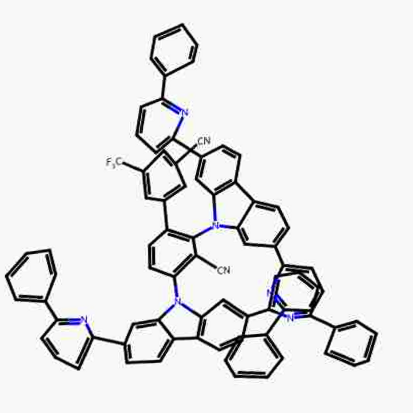 N#Cc1cc(-c2ccc(-n3c4cc(-c5cccc(-c6ccccc6)n5)ccc4c4ccc(-c5cccc(-c6ccccc6)n5)cc43)c(C#N)c2-n2c3cc(-c4cccc(-c5ccccc5)n4)ccc3c3ccc(-c4cccc(-c5ccccc5)n4)cc32)cc(C(F)(F)F)c1